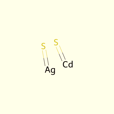 [S]=[Ag].[S]=[Cd]